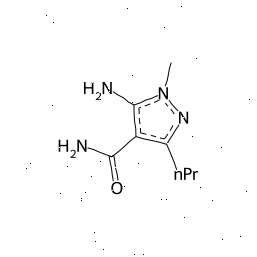 CCCc1nn(C)c(N)c1C(N)=O